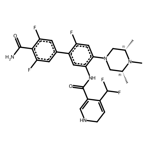 C[C@@H]1CN(c2cc(F)c(-c3cc(F)c(C(N)=O)c(F)c3)cc2NC(=O)C2=CNCC=C2C(F)F)C[C@H](C)N1C